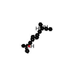 N=C(/C=C(\N=C\c1ccccc1)c1ccccc1)c1ccc(-c2ccc3c(-c4cccc5cc(-c6ccc(C7=CC(c8ccc(-c9ccccc9)cc8)NC(c8ccccc8)N7)cc6)ccc45)cccc3c2)cc1